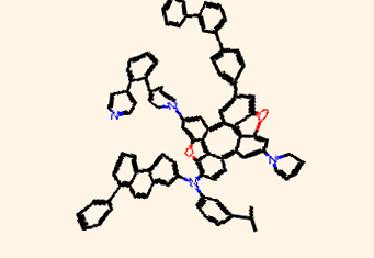 CC(C)c1cccc(N(c2ccc3c(ccc4c(-c5ccccc5)cccc43)c2)c2ccc3c4cc(N5C=CC=CC5)cc5oc6cc(-c7ccc(-c8cccc(-c9ccccc9)c8)cc7)cc(c7cc(N8C=CC(c9ccccc9-c9ccncc9)=CC8)cc8oc2c3c87)c6c54)c1